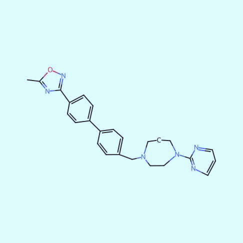 Cc1nc(-c2ccc(-c3ccc(CN4CCCN(c5ncccn5)CC4)cc3)cc2)no1